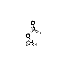 Cc1oc(-c2ccccc2)nc1COc1cccc(CN2CCOCC2C(=O)O)c1